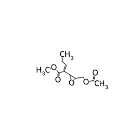 CCC=C(C(=O)OC)C1OC1COC(C)=O